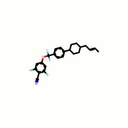 C/C=C/CC1CCC(c2ccc(C(F)(F)Oc3cc(F)c(C#N)c(F)c3)cc2)CC1